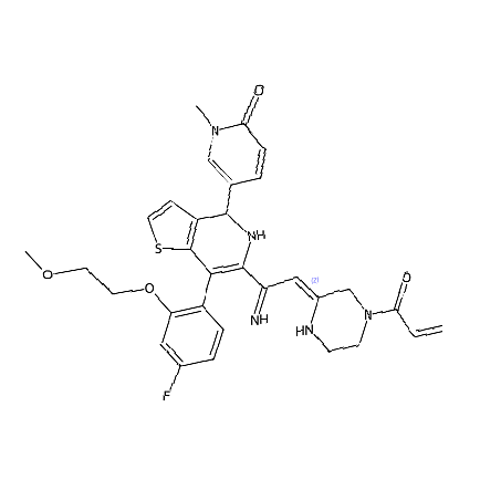 C=CC(=O)N1CCN/C(=C\C(=N)C2=C(c3ccc(F)cc3OCCOC)c3sccc3C(c3ccc(=O)n(C)c3)N2)C1